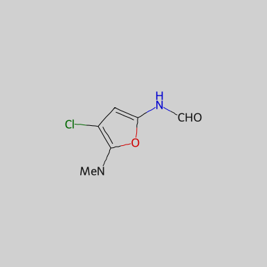 CNc1oc(NC=O)cc1Cl